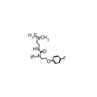 CC(C)N(CCOc1ccc(F)cc1)C(=O)NCCN(C)C